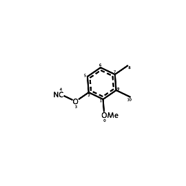 COc1c(OC#N)ccc(C)c1C